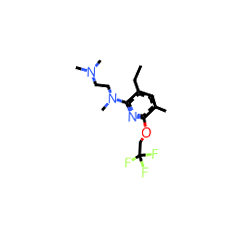 CCc1cc(C)c(OCC(F)(F)F)nc1N(C)CCN(C)C